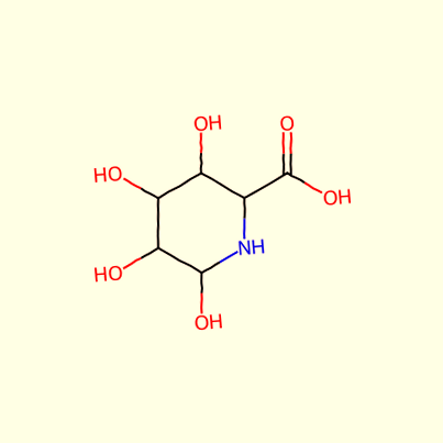 O=C(O)C1NC(O)C(O)C(O)C1O